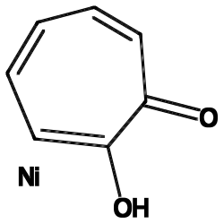 O=c1cccccc1O.[Ni]